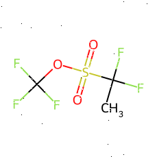 CC(F)(F)S(=O)(=O)OC(F)(F)F